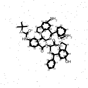 CC(C)(C)OC(=O)Nc1ccc(C(=O)N(C2N=C(c3ccccc3)c3cc(O)cc4c3N(C2=O)[C@H](C(N)=O)C4)[C@H]2N=C(c3ccccc3)c3cc(N)cc4c3N(CC4)C2=O)cc1